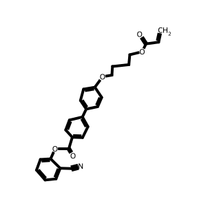 C=CC(=O)OCCCCOc1ccc(-c2ccc(C(=O)Oc3ccccc3C#N)cc2)cc1